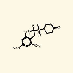 CNc1cc(C)c(CC(F)(F)S(=O)(=O)N2CCC(=O)CC2)c(C)c1